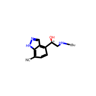 CC(C)(C)NC[C@H](O)c1ccc(C#N)c2[nH]ncc12